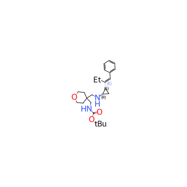 CC/C(=C\c1ccccc1)[C@@H]1C[C@H]1NCC1(CNC(=O)OC(C)(C)C)CCOCC1